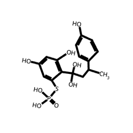 CC(CC(O)(O)c1c(O)cc(O)cc1SP(=O)(O)O)c1ccc(O)cc1